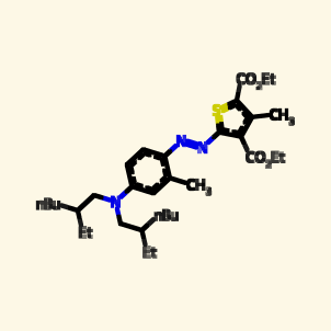 CCCCC(CC)CN(CC(CC)CCCC)c1ccc(/N=N/c2sc(C(=O)OCC)c(C)c2C(=O)OCC)c(C)c1